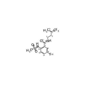 C=C(CCNC(=O)c1cc(F)ccc1NS(C)(=O)=O)C(F)(F)F